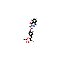 CCCOC(Cc1ccc(OCCn2ncc3ccccc3c2=O)cc1)C(=O)O